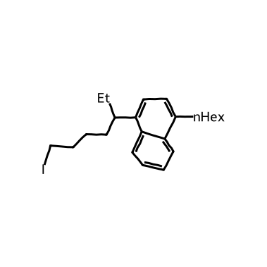 CCCCCCc1ccc(C(CC)CCCCI)c2ccccc12